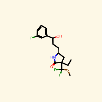 CCC1(C(F)(F)SC)C[C@H](CCC(O)c2cccc(F)c2)NC1=O